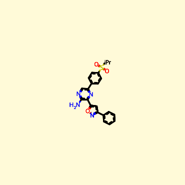 CC(C)S(=O)(=O)c1ccc(-c2cnc(N)c(-c3cc(-c4ccccc4)no3)n2)cc1